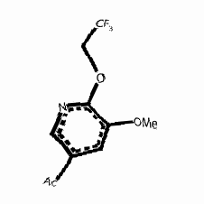 COc1cc(C(C)=O)cnc1OCC(F)(F)F